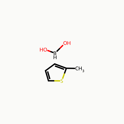 Cc1cccs1.OBO